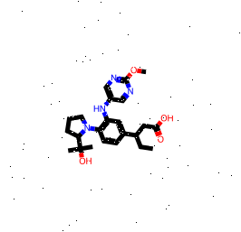 CCC(CC(=O)O)c1ccc(N2CCCC2C(C)(C)O)c(Nc2cnc(OC)nc2)c1